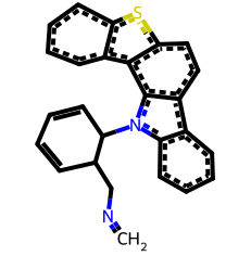 C=NCC1C=CC=CC1n1c2ccccc2c2ccc3sc4ccccc4c3c21